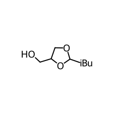 CCC(C)C1OCC(CO)O1